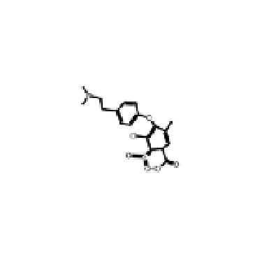 CC1=CC(C(=O)O)C(=S(=O)=O)C(Cl)=C1Oc1ccc(CCN(C)C)cc1